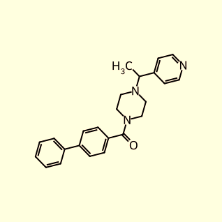 CC(c1ccncc1)N1CCN(C(=O)c2ccc(-c3ccccc3)cc2)CC1